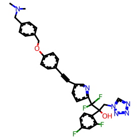 CN(C)Cc1ccc(COc2ccc(C#Cc3ccc(C(F)(F)C(O)(Cn4cnnn4)c4ccc(F)cc4F)nc3)cc2)cc1